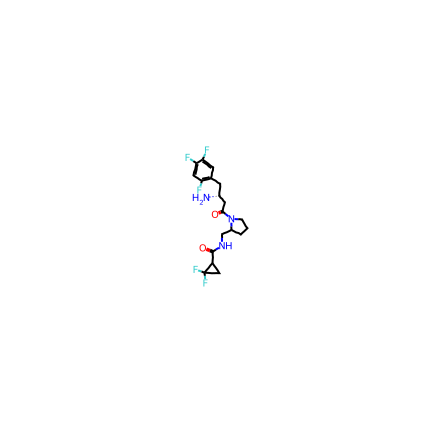 N[C@@H](CC(=O)N1CCCC1CNC(=O)C1CC1(F)F)Cc1cc(F)c(F)cc1F